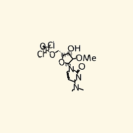 COC1[C@@H](O)[C@@H](COP(=O)(Cl)Cl)O[C@H]1n1ccc(N(C)C)nc1=O